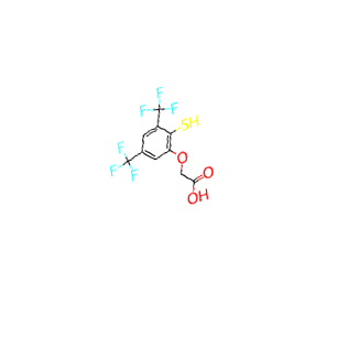 O=C(O)COc1cc(C(F)(F)F)cc(C(F)(F)F)c1S